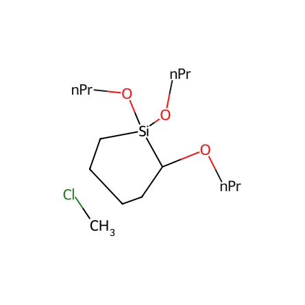 CCCOC1CCCC[Si]1(OCCC)OCCC.CCl